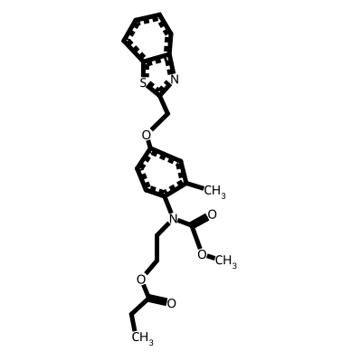 CCC(=O)OCCN(C(=O)OC)c1ccc(OCc2nc3ccccc3s2)cc1C